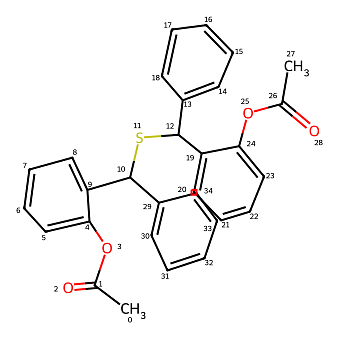 CC(=O)Oc1ccccc1C(SC(c1ccccc1)c1ccccc1OC(C)=O)c1ccccc1